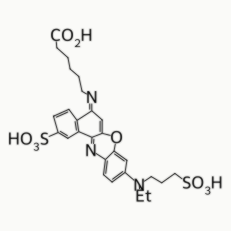 CCN(CCCS(=O)(=O)O)c1ccc2nc3c4cc(S(=O)(=O)O)ccc4/c(=N\CCCCCC(=O)O)cc-3oc2c1